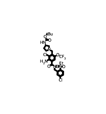 CCS(=O)(=O)c1ccc(Cl)cc1CNC(=O)c1cc(OC(F)(F)F)c(CN2CC[C@@H](NC(=O)OC(C)(C)C)C2)c(Cl)c1N